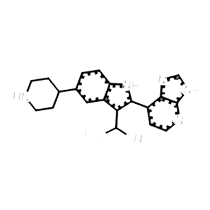 CC(C)c1c(-c2ccnc3[nH]cnc23)[nH]c2ccc(C3CCNCC3)cc12